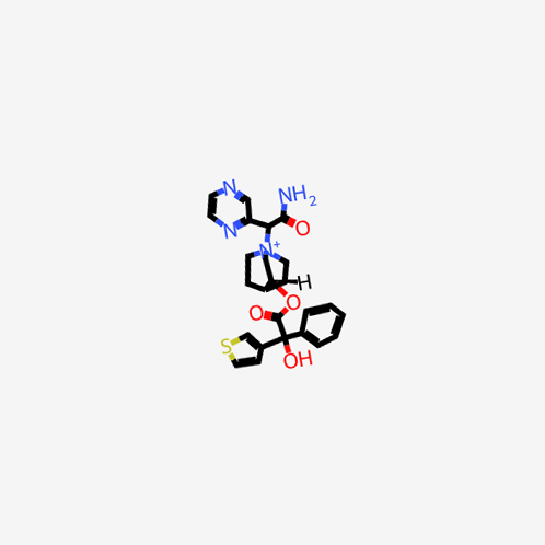 NC(=O)C(c1cnccn1)[N+]12CCC(CC1)[C@@H](OC(=O)C(O)(c1ccccc1)c1ccsc1)C2